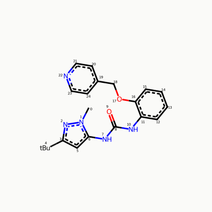 Cn1nc(C(C)(C)C)cc1NC(=O)Nc1ccccc1OCc1ccncc1